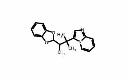 CC(C1Oc2ccccc2O1)C(C)(C)c1cnc2ccccn12